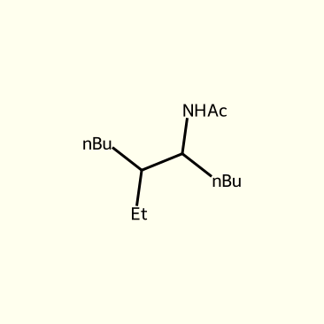 CCCCC(CC)C(CCCC)NC(C)=O